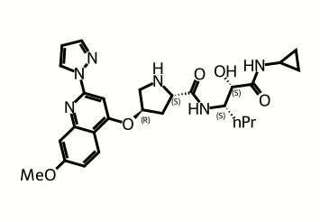 CCC[C@H](NC(=O)[C@@H]1C[C@@H](Oc2cc(-n3cccn3)nc3cc(OC)ccc23)CN1)[C@H](O)C(=O)NC1CC1